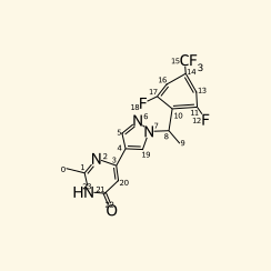 Cc1nc(-c2cnn(C(C)c3c(F)cc(C(F)(F)F)cc3F)c2)cc(=O)[nH]1